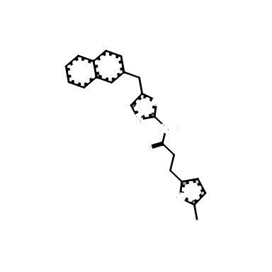 Cc1ccc(CCC(=O)Nc2ncc(Cc3ccc4ccccc4c3)s2)o1